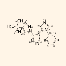 CC(C)(C)c1cn(-c2nnc3c4ccccc4n4cncc4n23)nn1